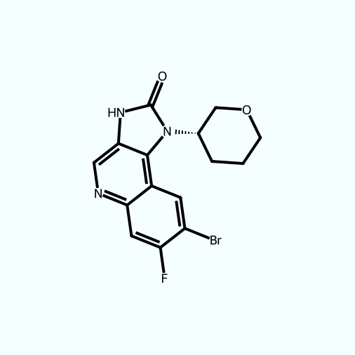 O=c1[nH]c2cnc3cc(F)c(Br)cc3c2n1[C@H]1CCCOC1